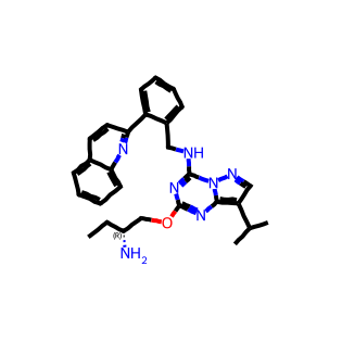 CC[C@@H](N)COc1nc(NCc2ccccc2-c2ccc3ccccc3n2)n2ncc(C(C)C)c2n1